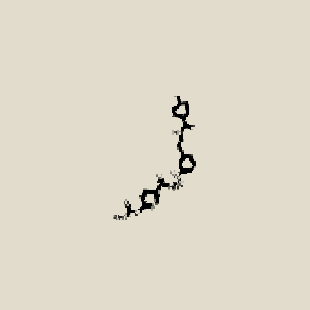 COC(=O)Oc1ccc(C(=O)NS(=O)(=O)c2cccc(CCNC(=O)c3ccc(Cl)cc3)c2)cn1